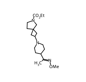 CCOC(=O)N1CCC2(CC(N3CCC(C(C)=NOC)CC3)C2)C1